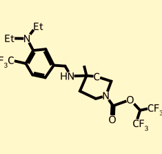 CCN(CC)c1cc(CNC2(C)CCN(C(=O)OC(C(F)(F)F)C(F)(F)F)CC2)ccc1C(F)(F)F